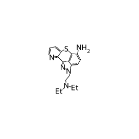 CCN(CC)CCn1nc2c3c(c(N)ccc31)Sc1cccnc1-2